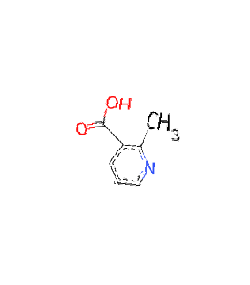 Cc1nc[c]cc1C(=O)O